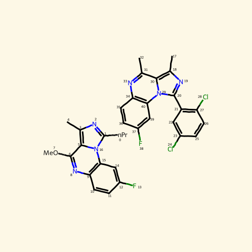 CCCc1nc(C)c2c(OC)nc3ccc(F)cc3n12.Cc1nc(-c2cc(Cl)ccc2Cl)n2c1c(C)nc1ccc(F)cc12